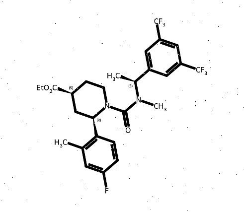 CCOC(=O)[C@H]1CCN(C(=O)N(C)[C@@H](C)c2cc(C(F)(F)F)cc(C(F)(F)F)c2)[C@@H](c2ccc(F)cc2C)C1